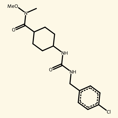 CON(C)C(=O)C1CCC(NC(=O)NCc2ccc(Cl)cc2)CC1